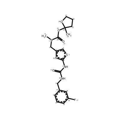 CN(Cc1csc(NC(=O)NCc2cccc(F)c2)n1)C(=O)OC1(C)CCCO1